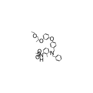 CCOCC(C)Oc1cccc(Oc2ccc(CN(Cc3ccccc3)c3cccc(NS(C)(=O)=O)c3C)cc2)c1